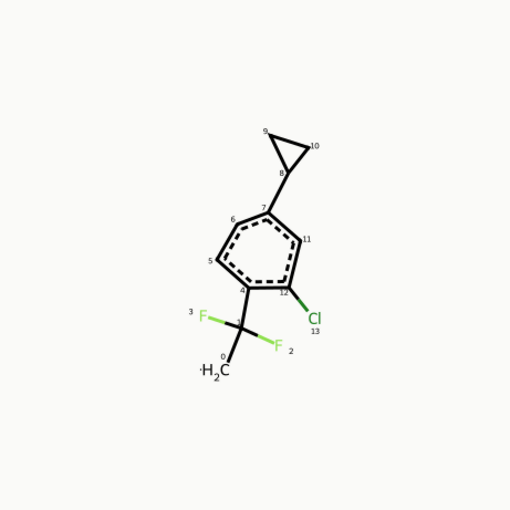 [CH2]C(F)(F)c1ccc(C2CC2)cc1Cl